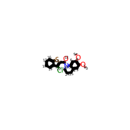 COc1cc2c(cc1OC)N(C(=O)c1sc3ccccc3c1Cl)CCC2